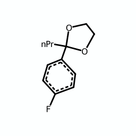 [CH2]CCC1(c2ccc(F)cc2)OCCO1